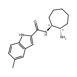 Cc1ccc2[nH]c(C(=O)N[C@H]3CCCCC[C@@H]3N)cc2c1